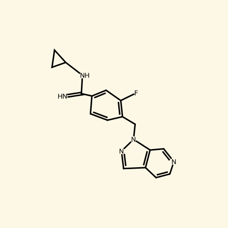 N=C(NC1CC1)c1ccc(Cn2ncc3ccncc32)c(F)c1